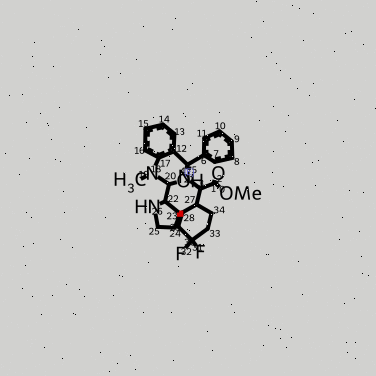 COC(=O)C(/N=C(\c1ccccc1)c1ccccc1N(C)C(O)C1CCCN1)C1CCC(F)(F)CC1